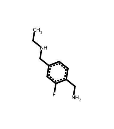 CCNCc1ccc(CN)c(F)c1